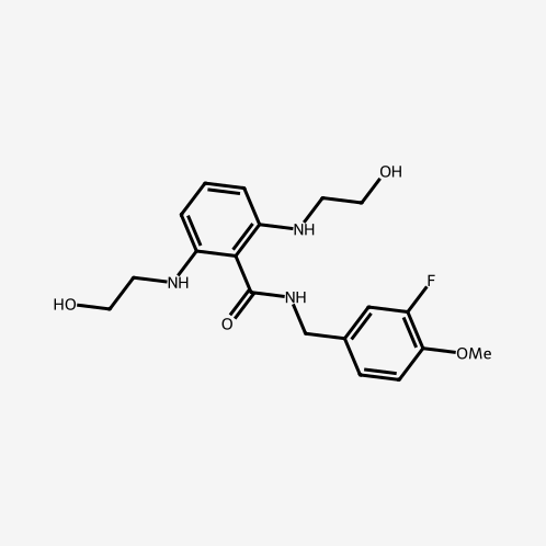 COc1ccc(CNC(=O)c2c(NCCO)cccc2NCCO)cc1F